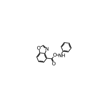 O=C(ONc1ccccc1)c1cccc2ocnc12